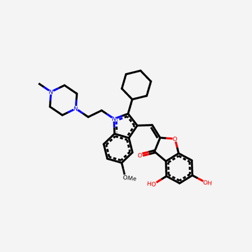 COc1ccc2c(c1)c(C=C1Oc3cc(O)cc(O)c3C1=O)c(C1CCCCC1)n2CCN1CCN(C)CC1